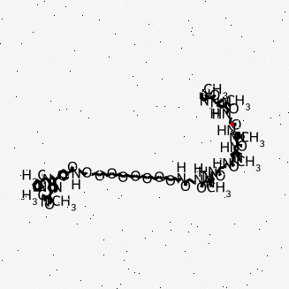 Cc1noc(C)c1-c1cnc2c(-c3ccc(C(=O)NCCOCCOCCOCCOCCOCCOCCOCCOCCNC(=O)CCNC(=O)c4nc(NC(=O)CCNC(=O)c5cc(NC(=O)c6nc(NC(=O)CCNC(=O)c7cc(NC(=O)c8nccn8C)cn7C)cn6C)cn5C)cn4C)cc3)cn([C@@H](C)c3ccccn3)c2c1